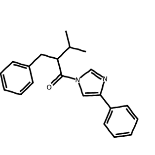 CC(C)C(Cc1ccccc1)C(=O)n1cnc(-c2ccccc2)c1